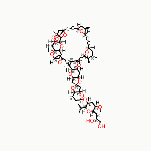 C=C1C[C@@H]2CC[C@@]34C[C@]5(C)O[C@H]6[C@@H](O3)[C@H]3O[C@H](CC[C@@H]3O[C@H]6C5O4)CC(=O)C[C@@H]3[C@@H](C)[C@@H]4O[C@@H]5C[C@]6(C[C@@H]7O[C@]8(C[C@H](C)[C@@H]9O[C@@H]%10[C@@H]([C@@H](O)CO)CO[C@@H]%10C[C@@H]9O8)C[C@H](C)[C@@H]7O6)O[C@@H]5C[C@@H]4O[C@H]3C[C@H]3O[C@@H](CC[C@@H]1O2)C[C@@H](C)C3=C